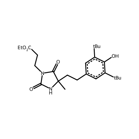 CCOC(=O)CCN1C(=O)NC(C)(CCc2cc(C(C)(C)C)c(O)c(C(C)(C)C)c2)C1=O